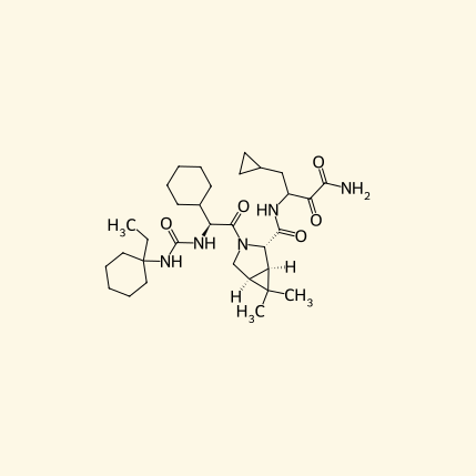 CCC1(NC(=O)N[C@H](C(=O)N2C[C@H]3[C@@H]([C@H]2C(=O)NC(CC2CC2)C(=O)C(N)=O)C3(C)C)C2CCCCC2)CCCCC1